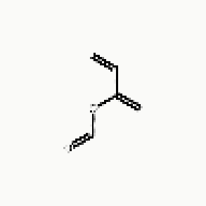 C=CC(=C)OC=O